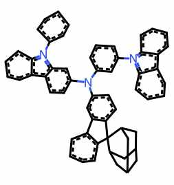 c1ccc(-n2c3ccccc3c3ccc(N(c4cccc(-n5c6ccccc6c6ccccc65)c4)c4ccc5c(c4)-c4ccccc4C54C5CC6CC(C5)CC4C6)cc32)cc1